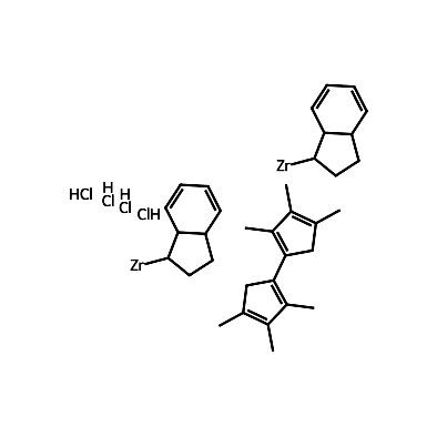 CC1=C(C)C(C)=C(C2=C(C)C(C)=C(C)C2)C1.Cl.Cl.Cl.Cl.[Zr][CH]1CCC2C=CC=CC12.[Zr][CH]1CCC2C=CC=CC12